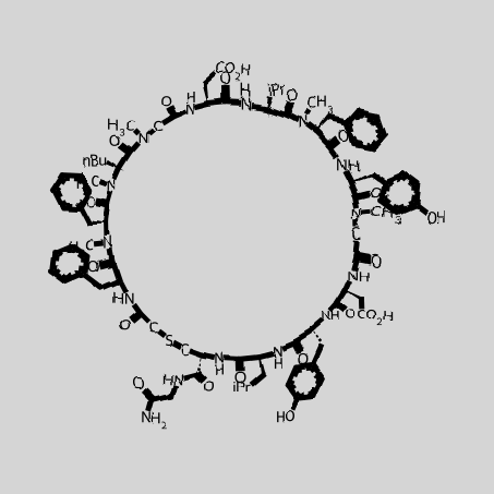 CCCC[C@H]1C(=O)N(C)CC(=O)N[C@@H](CC(=O)O)C(=O)N[C@@H](C(C)C)C(=O)N(C)[C@@H](Cc2ccccc2)C(=O)N[C@@H](Cc2ccc(O)cc2)C(=O)N(C)CC(=O)N[C@@H](CC(=O)O)C(=O)N[C@H](Cc2ccc(O)cc2)C(=O)N[C@@H](CC(C)C)C(=O)N[C@H](C(=O)NCC(N)=O)CSCC(=O)NC(Cc2ccccc2)C(=O)N(C)[C@@H](Cc2ccccc2)C(=O)N1C